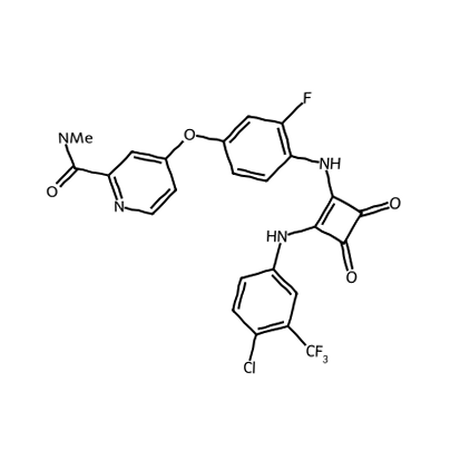 CNC(=O)c1cc(Oc2ccc(Nc3c(Nc4ccc(Cl)c(C(F)(F)F)c4)c(=O)c3=O)c(F)c2)ccn1